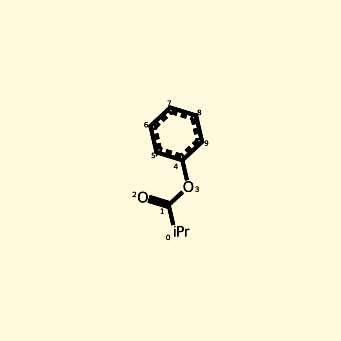 CC(C)C(=O)Oc1[c]cccc1